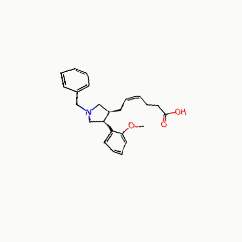 COc1ccccc1[C@H]1CN(Cc2ccccc2)C[C@H]1C/C=C\CCC(=O)O